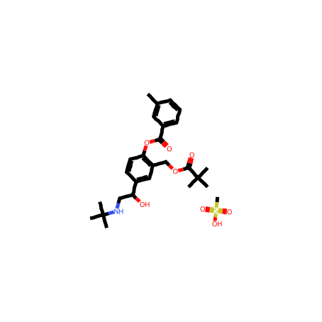 CS(=O)(=O)O.Cc1cccc(C(=O)Oc2ccc(C(O)CNC(C)(C)C)cc2COC(=O)C(C)(C)C)c1